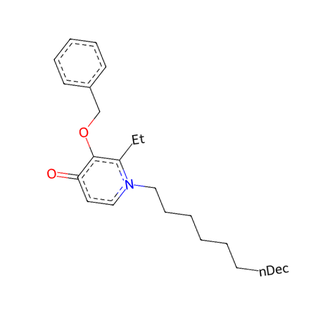 CCCCCCCCCCCCCCCCn1ccc(=O)c(OCc2ccccc2)c1CC